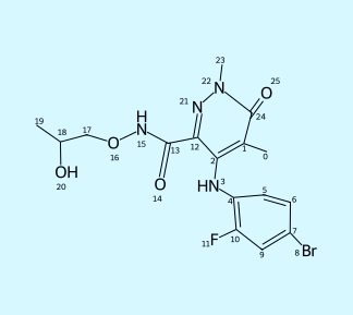 Cc1c(Nc2ccc(Br)cc2F)c(C(=O)NOCC(C)O)nn(C)c1=O